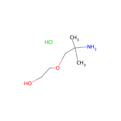 CC(C)(N)COCCO.Cl